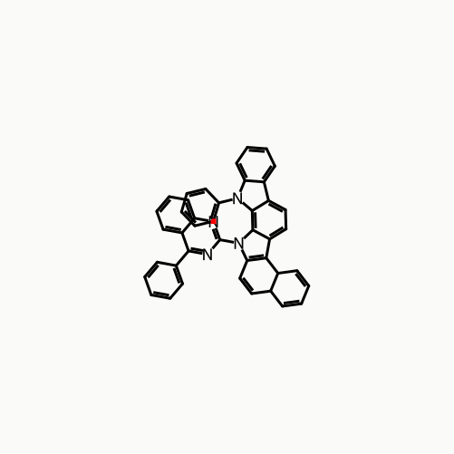 C1=CC2C=Cc3c(c4ccc5c6ccccc6n(-c6ccccc6)c5c4n3-c3nc(-c4ccccc4)c4ccccc4n3)C2C=C1